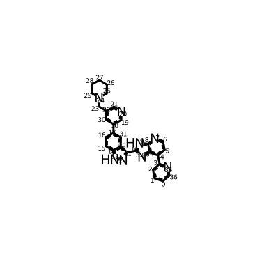 c1ccc(-c2ccnc3[nH]c(-c4n[nH]c5ccc(-c6cncc(CN7CCCCC7)c6)cc45)nc23)nc1